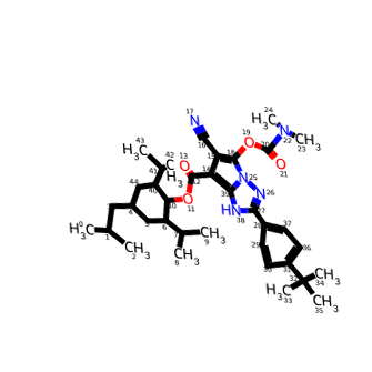 CC(C)CC1CC(C(C)C)C(OC(=O)c2c(C#N)c(OC(=O)N(C)C)n3nc(-c4ccc(C(C)(C)C)cc4)[nH]c23)C(C(C)C)C1